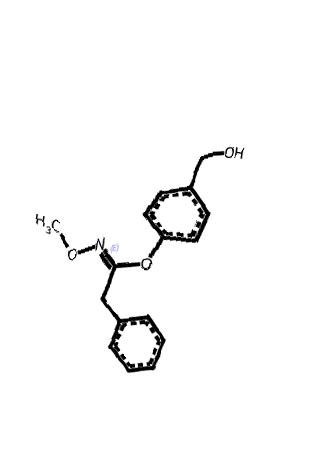 CO/N=C(\Cc1ccccc1)Oc1ccc(CO)cc1